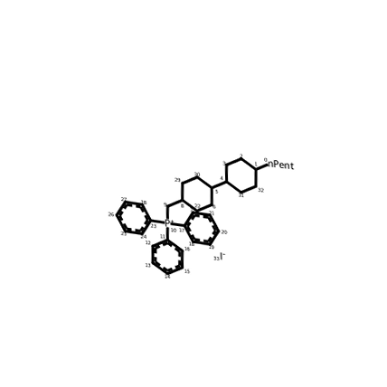 CCCCCC1CCC(C2CCC(C[P+](c3ccccc3)(c3ccccc3)c3ccccc3)CC2)CC1.[I-]